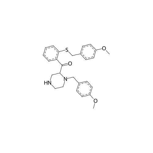 COc1ccc(CSc2ccccc2C(=O)C2CNCCN2Cc2ccc(OC)cc2)cc1